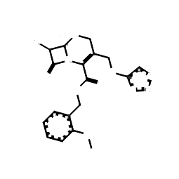 COc1ccccc1COC(=O)C1=C(CSc2cnns2)CS[C@@H]2C(N)C(=O)N12